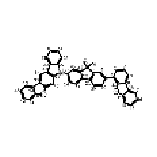 CC1(C)c2cc(-c3cccc4c3oc3ccccc34)ccc2-c2ccc(-n3c4ccccc4c4cc5c(cc43)oc3ccccc35)cc21